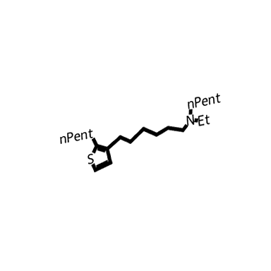 [CH2]CCCCc1sccc1CCCCCCN(CC)CCCCC